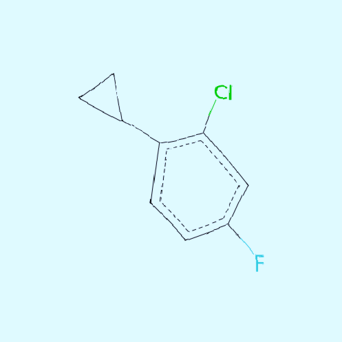 Fc1ccc(C2CC2)c(Cl)c1